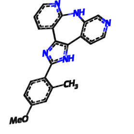 COc1ccc(-c2nc3c([nH]2)-c2ccncc2Nc2ncccc2-3)c(C)c1